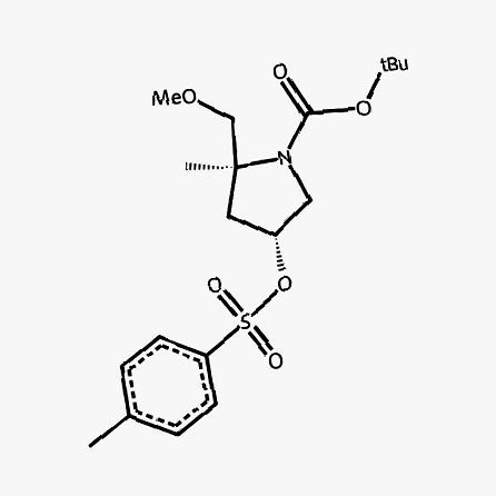 COC[C@]1(C)C[C@@H](OS(=O)(=O)c2ccc(C)cc2)CN1C(=O)OC(C)(C)C